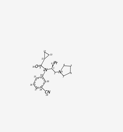 CC(C)[C@@H](CN1CCCC1)N(C(=O)C1CC1)c1cccc(C#N)c1